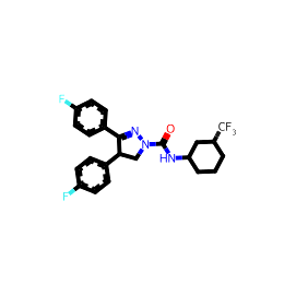 O=C(NC1CCCC(C(F)(F)F)C1)N1CC(c2ccc(F)cc2)C(c2ccc(F)cc2)=N1